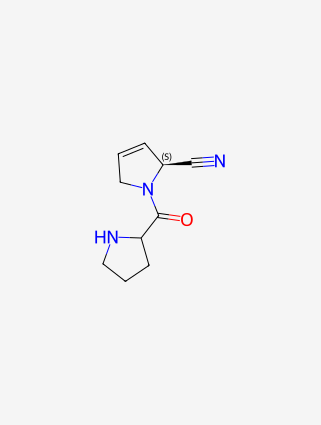 N#C[C@@H]1C=CCN1C(=O)C1CCCN1